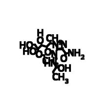 CCC(O)N/C=N/c1c(C(N)=O)ncn1[C@H](C)C1O[C@@H](C)O[C@@](O)(CO)C1O